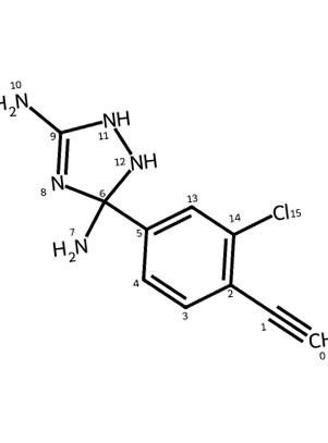 C#Cc1ccc(C2(N)N=C(N)NN2)cc1Cl